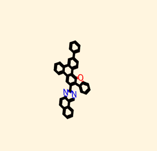 c1ccc(-c2ccc3c(c2)c2ccccc2c2cc(-c4ncc5c(ccc6ccccc65)n4)c4c5ccccc5oc4c32)cc1